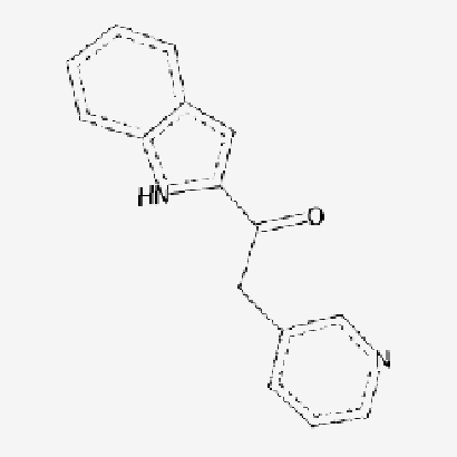 O=C(Cc1cccnc1)c1cc2ccccc2[nH]1